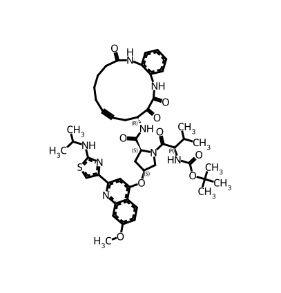 COc1ccc2c(O[C@H]3C[C@@H](C(=O)N[C@@H]4CC#CCCCCC(=O)Nc5ccccc5NC(=O)C4=O)N(C(=O)[C@H](NC(=O)OC(C)(C)C)C(C)C)C3)cc(-c3csc(NC(C)C)n3)nc2c1